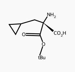 CC(C)(C)OC(=O)[C@@](N)(CC1CC1)C(=O)O